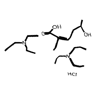 CC(=CCC(C)O)C(=O)O.CCN(CC)CC.CCN(CC)CC.Cl